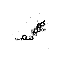 C=C1C=C[C@@]2(C)C(=C1)[C@@H](F)C[C@H]1[C@@H]3C[C@H]4O[C@@H](c5ccc(Cc6cccc(NC)c6)s5)O[C@@]4(C(=O)CC)[C@@]3(C)C[C@H](O)[C@@]12F